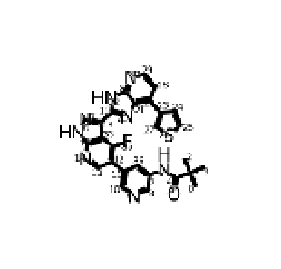 CC(C)(C)C(=O)Nc1cncc(-c2cnc3[nH]nc(-c4nc5c(-c6ccsc6)ccnc5[nH]4)c3c2F)c1